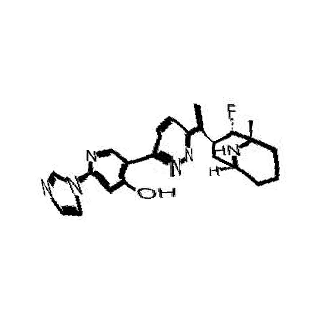 C=C(c1ccc(-c2cnc(-n3ccnc3)cc2O)nn1)[C@@H]1C[C@H]2CCC[C@](C)(N2)[C@H]1F